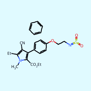 CCOC(=O)c1c(-c2ccc(OCCN=S(=O)=O)cc2)c(C#N)c(CC)n1C.c1ccccc1